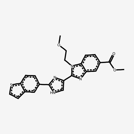 COCCn1c(-c2c[nH]c(-c3ccc4sccc4c3)n2)nc2cc(C(=O)OC)ccc21